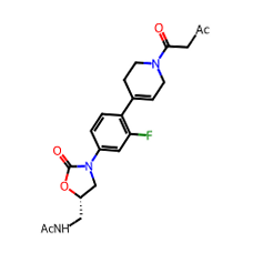 CC(=O)CC(=O)N1CC=C(c2ccc(N3C[C@H](CNC(C)=O)OC3=O)cc2F)CC1